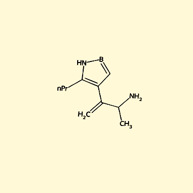 C=C(c1cb[nH]c1CCC)C(C)N